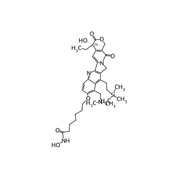 CC[C@@]1(O)C(=O)OCc2c1cc1n(c2=O)Cc2c-1nc1ccc(OCCCCCCC(=O)NO)c(CN(C)C)c1c2CC[Si](C)(C)C